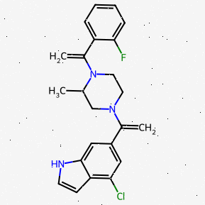 C=C(c1cc(Cl)c2cc[nH]c2c1)N1CCN(C(=C)c2ccccc2F)C(C)C1